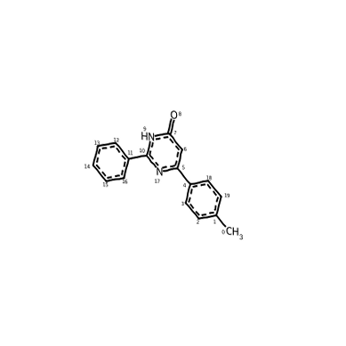 Cc1ccc(-c2cc(=O)[nH]c(-c3ccccc3)n2)cc1